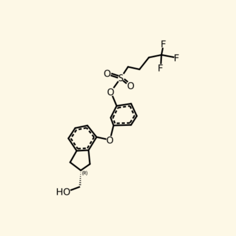 O=S(=O)(CCCC(F)(F)F)Oc1cccc(Oc2cccc3c2C[C@H](CO)C3)c1